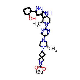 C[C@@H]1c2c([nH]c3nnc(-c4ccccc4O)cc23)CCN1c1ncc(N2CCN(C3CC4(C3)CN(C(=O)OC(C)(C)C)C4)[C@H](C)C2)cn1